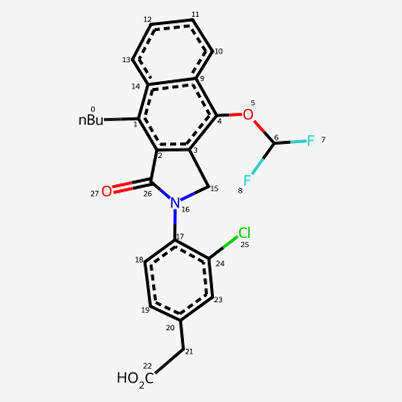 CCCCc1c2c(c(OC(F)F)c3ccccc13)CN(c1ccc(CC(=O)O)cc1Cl)C2=O